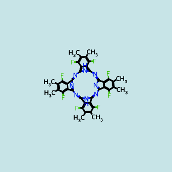 Cc1c(C)c(F)c2c(c1F)-c1nc-2nc2[nH]c(nc3nc(nc4[nH]c(n1)c1c(F)c(C)c(C)c(F)c41)-c1c(F)c(C)c(C)c(F)c1-3)c1c(F)c(C)c(C)c(F)c21